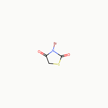 O=C1CSC(=O)N1Br